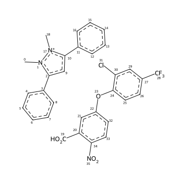 Cn1c(-c2ccccc2)cc(-c2ccccc2)[n+]1C.O=C(O)c1cc(Oc2ccc(C(F)(F)F)cc2Cl)ccc1[N+](=O)[O-]